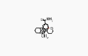 COC1(c2cccc(C(N)=O)c2)C2CCCC1CN(C1CCCOC1)C2